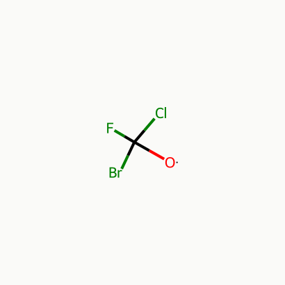 [O]C(F)(Cl)Br